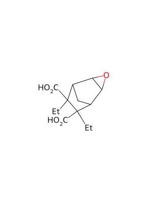 CCC1(C(=O)O)C2CC(C3OC32)C1(CC)C(=O)O